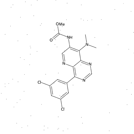 COC(=O)Nc1cnc2c(-c3cc(Cl)cc(Cl)c3)ncnc2c1N(C)C